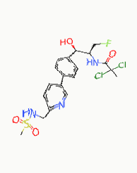 CC(Cl)(Cl)C(=O)N[C@H](CF)[C@H](O)c1ccc(-c2ccc(CNS(C)(=O)=O)nc2)cc1